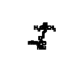 CCCCN(CCCC)C(=O)OCCC[Si](C)(C)Cl